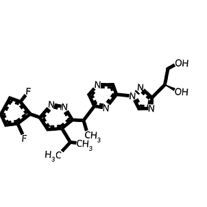 CC(C)c1cc(-c2c(F)cccc2F)nnc1C(C)c1cncc(-n2cnc([C@H](O)CO)n2)n1